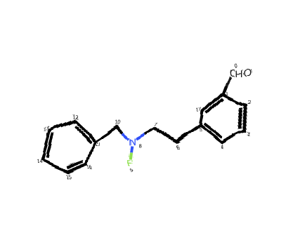 O=Cc1cccc(CCN(F)Cc2ccccc2)c1